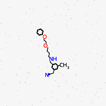 Cc1cc(CC#N)cc(CNCCCCOCCOc2ccccc2)c1